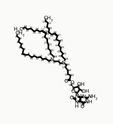 CCCCCCC/C=C\CCCCCCCCN(CCCCCCCC/C=C\CCCCCCC)CCCN(CCCCCCCC/C=C\CCCCCCC)CCCCCC(=O)OC[C@@H]1O[C@H](n2c(=O)[nH]c3c(=O)[nH]c(N)nc32)C(O)C1O